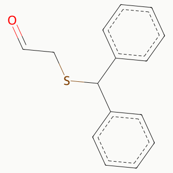 O=CCSC(c1ccccc1)c1ccccc1